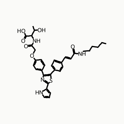 CCCCCCNC(=O)C=Cc1ccc(-c2sc(-c3ccc[nH]3)nc2-c2ccc(OCC(=O)NC(C(=O)O)C(C)O)cc2)cc1